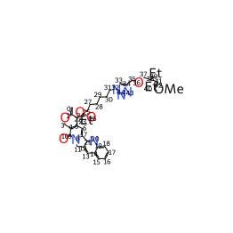 C=C1OCc2c(cc3n(c2=O)Cc2cc4ccccc4nc2-3)[C@]1(CC)OC(=O)CCCCCn1cc(COCC(CC)(CC)COC)nn1